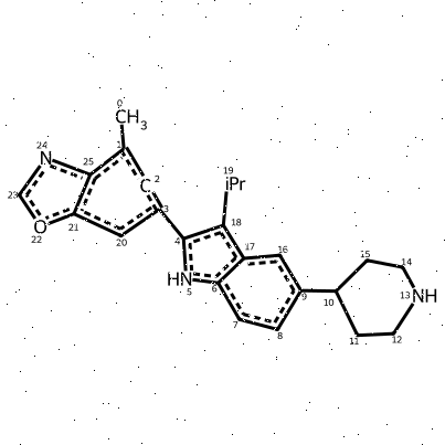 Cc1cc(-c2[nH]c3ccc(C4CCNCC4)cc3c2C(C)C)cc2ocnc12